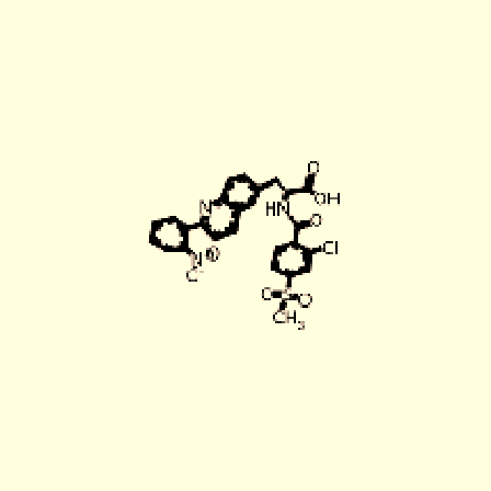 CS(=O)(=O)c1ccc(C(=O)N[C@@H](Cc2ccc3nc(-c4ccccc4[N+](=O)[O-])ccc3c2)C(=O)O)c(Cl)c1